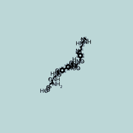 N[C@@H](CSOOO)C(=O)NCCNS(=O)(=O)c1ccc(-c2ccc(S(=O)(=O)N[C@@H](CNC(=O)c3ccc4c(cnn4CCCNc4ncc[nH]4)c3)C(=O)O)cc2)cc1